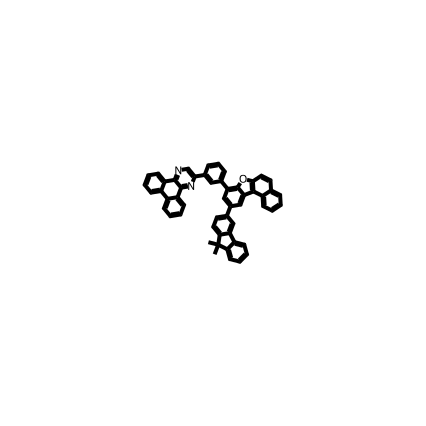 CC1(C)c2ccccc2-c2cc(-c3cc(-c4cccc(-c5cnc6c7ccccc7c7ccccc7c6n5)c4)c4oc5ccc6ccccc6c5c4c3)ccc21